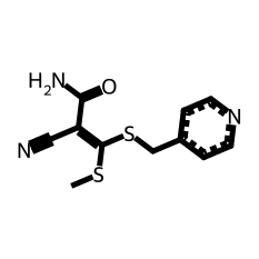 CSC(SCc1ccncc1)=C(C#N)C(N)=O